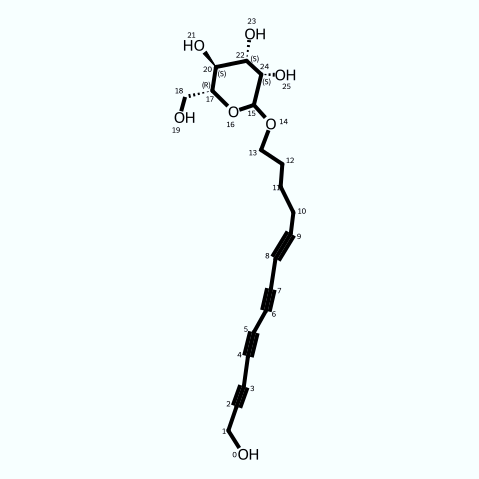 OCC#CC#CC#CC#CCCCCOC1O[C@H](CO)[C@@H](O)[C@H](O)[C@@H]1O